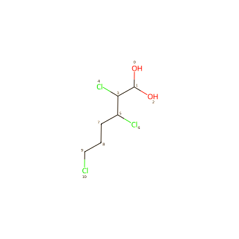 OC(O)C(Cl)C(Cl)CCCCl